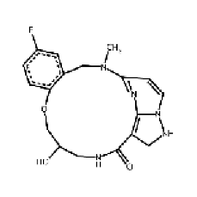 CN1Cc2cc(F)ccc2OCC(O)CNC(=O)C2=C3N=C1C=CN3NC2